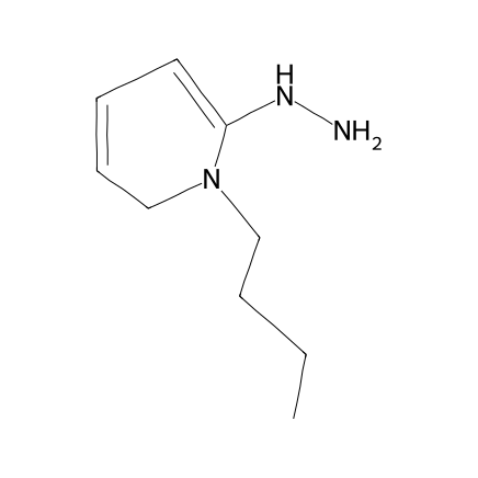 CCCCN1CC=CC=C1NN